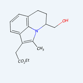 CCOC(=O)Cc1c(C)n2c3c(cccc13)CCC2CO